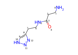 NCCC(=O)NCCc1c[nH]nn1